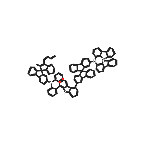 C=C/C=C\C1=C(C)C2(c3ccccc31)c1ccccc1-c1ccc(N(c3ccccc3)c3ccccc3-c3cccc4c3sc3cccc(-c5ccc6c(c5)-c5ccccc5C65c6ccccc6-c6ccc(N(c7cccc8c7oc7ccccc78)c7cccc8c7oc7ccccc78)cc65)c34)cc12